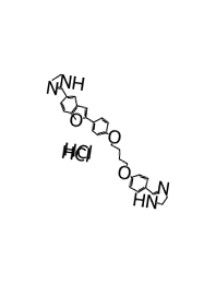 Cl.Cl.c1cc(C2=NCCN2)ccc1OCCCCOc1ccc(-c2cc3cc(C4=NCCN4)ccc3o2)cc1